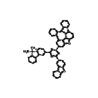 CC1(C)c2ccccc2-c2cc(-c3nc(-c4ccc5oc6ccccc6c5c4)nc(-c4cc5oc6ccc7c8ccccc8n8c9ccccc9c(c4)c5c6c78)n3)ccc21